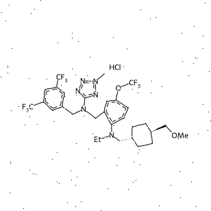 CCN(C[C@H]1CC[C@H](COC)CC1)c1ccc(OC(F)(F)F)cc1CN(Cc1cc(C(F)(F)F)cc(C(F)(F)F)c1)c1nnn(C)n1.Cl